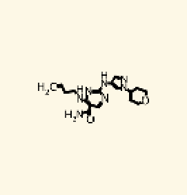 C=CCCNc1nc(Nc2cnn(C3CCOCC3)c2)ncc1C(N)=O